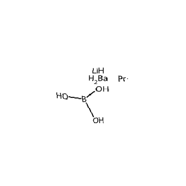 OB(O)O.[BaH2].[LiH].[Pr]